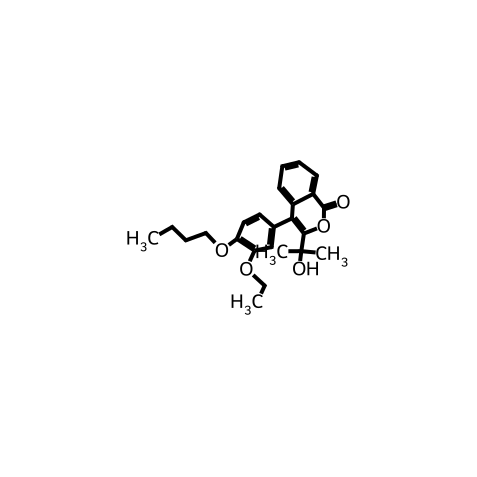 CCCCOc1ccc(-c2c(C(C)(C)O)oc(=O)c3ccccc23)cc1OCC